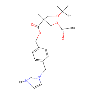 CCC(C)C(=O)OCC(C)(COC(C)(C)CC)C(=O)OCc1ccc(C[n+]2ccn(CC)c2)cc1